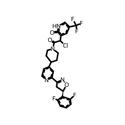 O=C(C(Cl)c1cc(C(F)(F)F)c[nH]c1=O)N1CCC(c2ccnc(C3=NO[C@@H](c4c(F)cccc4F)C3)c2)CC1